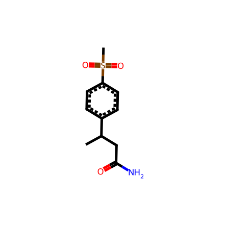 CC(CC(N)=O)c1ccc(S(C)(=O)=O)cc1